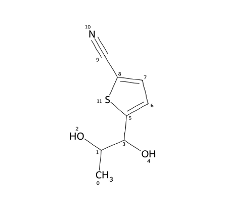 CC(O)C(O)c1ccc(C#N)s1